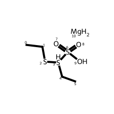 CCS[SH](CC)S(=O)(=O)O.[MgH2]